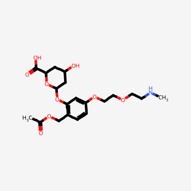 CNCCOCCOc1ccc(COC(C)=O)c(OC2CC(O)CC(C(=O)O)O2)c1